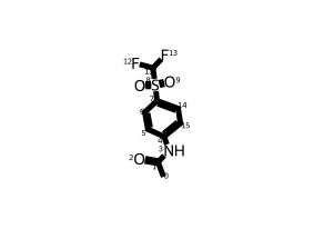 CC(=O)Nc1ccc(S(=O)(=O)C(F)F)cc1